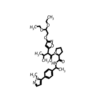 CCOC(COc1cc(C(C(=O)N2CCCC2C(=O)NC(C)c2ccc(-c3ccnn3C)cc2)C(C)C)on1)OCC